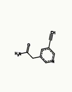 C#Cc1cncc(CC(N)=O)c1